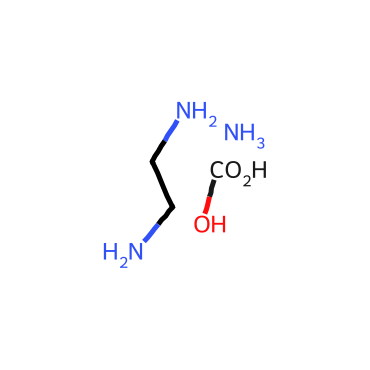 N.NCCN.O=C(O)O